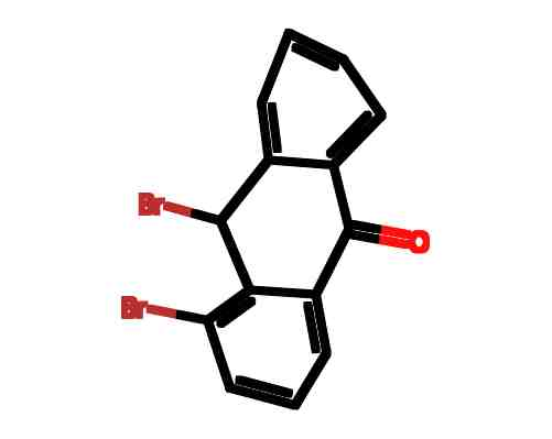 O=C1c2ccccc2C(Br)c2c(Br)cccc21